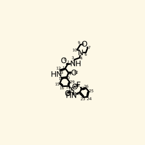 O=C(NCCN1CCOCC1)c1c[nH]c2ccc(S(=O)(=O)Nc3ccccc3F)cc2c1=O